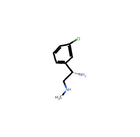 CNC[C@@H](N)c1cccc(Cl)c1